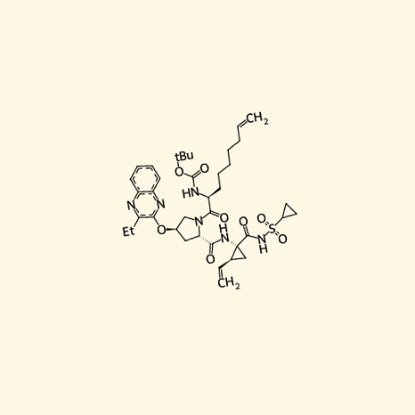 C=CCCCCC[C@H](NC(=O)OC(C)(C)C)C(=O)N1C[C@H](Oc2nc3ccccc3nc2CC)C[C@H]1C(=O)N[C@]1(C(=O)NS(=O)(=O)C2CC2)C[C@H]1C=C